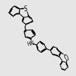 c1ccc2c(c1)oc1ccc(-c3ccc(Nc4ccc(-c5ccc6sc7ccccc7c6c5)cc4)cc3)cc12